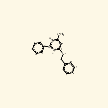 Nc1cc(SCc2ccccc2)nc(-c2ccccc2)n1